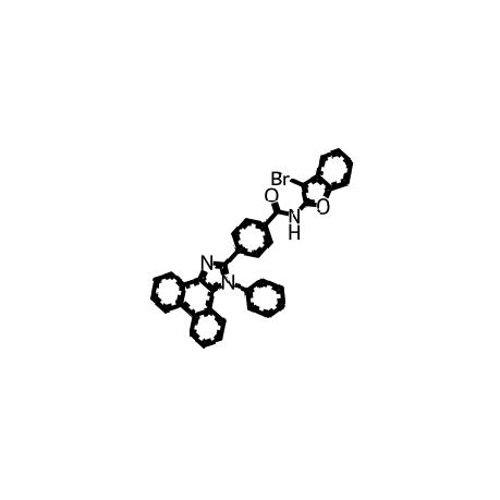 O=C(Nc1oc2ccccc2c1Br)c1ccc(-c2nc3c4ccccc4c4ccccc4c3n2-c2ccccc2)cc1